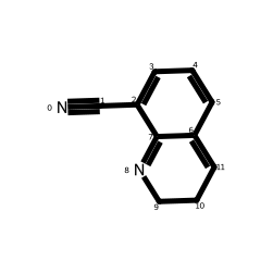 N#Cc1cccc2c1=NCCC=2